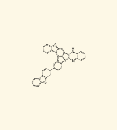 C1=CC2=Nc3c(c4cc5sc6ccccc6c5c5c6cc(C7C=Cc8c(sc9ccccc89)C7)ccc6n3c45)NC2C=C1